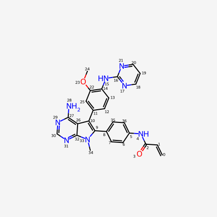 C=CC(=O)Nc1ccc(-c2c(-c3ccc(Nc4ncccn4)c(OC)c3)c3c(N)ncnc3n2C)cc1